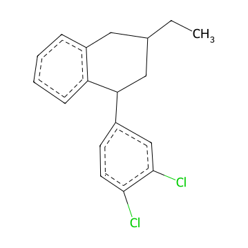 CCC1Cc2ccccc2C(c2ccc(Cl)c(Cl)c2)C1